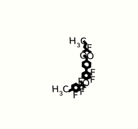 CCCC1(F)COC(C2CC=C(c3ccc(OC(F)(F)c4ccc(CC)c(F)c4F)c(F)c3F)CC2)OC1